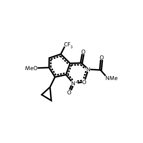 CNC(=O)n1o[n+](=O)c2c(C3CC3)c(OC)cc(C(F)(F)F)c2c1=O